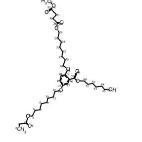 CCC(=O)OCCCCCCCCOc1ccc(OCCCCCCCCOC(=O)CCC(=O)OC)c(C(=O)OCCCCCCO)c1